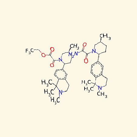 C[C@H]1CCC(c2ccc3c(c2)CCN(C)C3(C)C)N(C(=O)C(=O)OCC(F)(F)F)C1.C[C@H]1CCC(c2ccc3c(c2)CCN(C)C3(C)C)N(C(=O)C(N)=O)C1